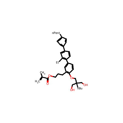 C=C(C)C(=O)OCCCc1cc(-c2ccc(-c3ccc(CCCCC)cc3)cc2CC)ccc1OCC(CO)(CO)CCCC